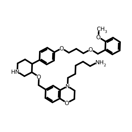 COc1ccccc1COCCCOc1ccc(C2CCNCC2OCc2ccc3c(c2)N(CCCCCN)CCO3)cc1